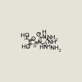 N=C(N)NC1(N)C=CN([C@H]2C[C@H](O)[C@@H](CO)O2)C(=O)N1